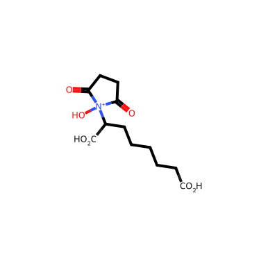 O=C(O)CCCCCC(C(=O)O)[N+]1(O)C(=O)CCC1=O